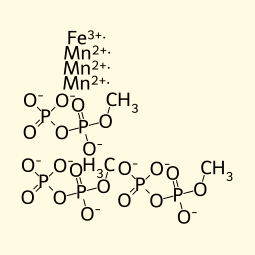 COP(=O)([O-])OP(=O)([O-])[O-].COP(=O)([O-])OP(=O)([O-])[O-].COP(=O)([O-])OP(=O)([O-])[O-].[Fe+3].[Mn+2].[Mn+2].[Mn+2]